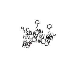 Cc1nc2c(s1)NC=c1cccnc1=C2N1CCNC(CCc2ccccc2)C1.Cc1nc2c(s1)NC=c1cccnc1=C2N1CCNC(CCc2ccccc2)C1.Cl.Cl.Cl.Cl.O